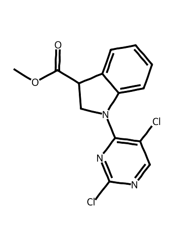 COC(=O)C1CN(c2nc(Cl)ncc2Cl)c2ccccc21